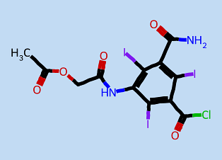 CC(=O)OCC(=O)Nc1c(I)c(C(N)=O)c(I)c(C(=O)Cl)c1I